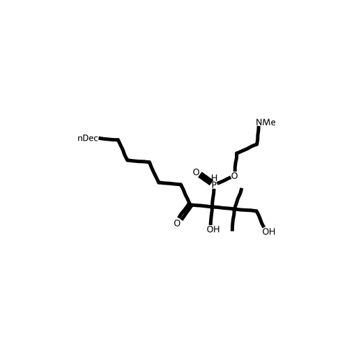 CCCCCCCCCCCCCCCC(=O)C(O)([PH](=O)OCCNC)C(C)(C)CO